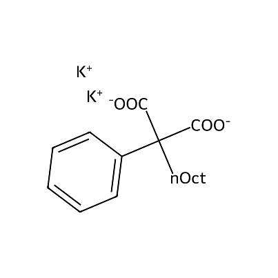 CCCCCCCCC(C(=O)[O-])(C(=O)[O-])c1ccccc1.[K+].[K+]